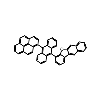 c1ccc2cc3c(cc2c1)oc1c(-c2c4ccccc4c(-c4ccc5ccc6cccc7ccc4c5c67)c4ccccc24)cccc13